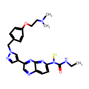 CCNC(=O)N(S)c1ccc2ncc(-c3cnn(Cc4ccc(OCCN(C)C)cc4)c3)nc2n1